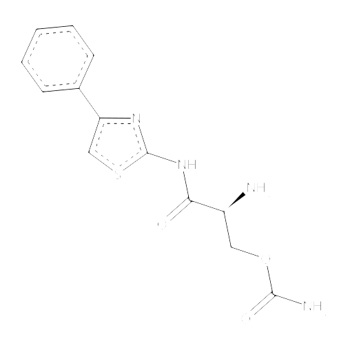 NC(=O)OC[C@H](N)C(=O)Nc1nc(-c2ccccc2)cs1